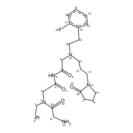 CC(C)CN(CC(=O)NC(=O)CN(CCCN1CCCC1=O)CCc1ccccc1F)C(=O)CN